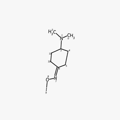 CN(C)C1CCC(=NOI)CC1